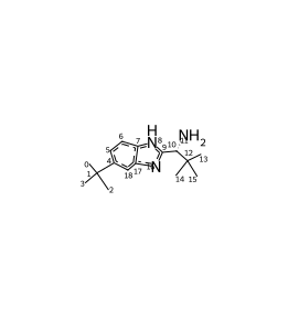 CC(C)(C)c1ccc2[nH]c([C@H](N)C(C)(C)C)nc2c1